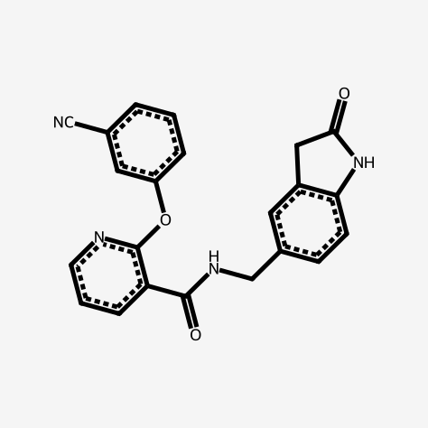 N#Cc1cccc(Oc2ncccc2C(=O)NCc2ccc3c(c2)CC(=O)N3)c1